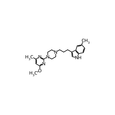 COc1cc(C)nc(N2CCN(CCCc3c[nH]c4ccc(C)cc34)CC2)n1